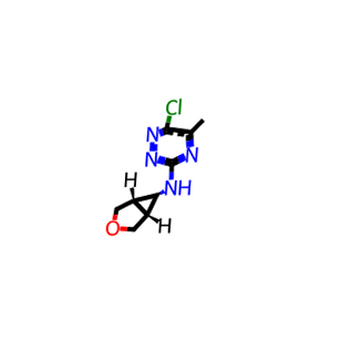 Cc1nc(N[C@H]2[C@@H]3COC[C@@H]32)nnc1Cl